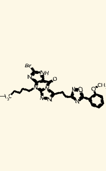 CCCCCn1c2nc(Br)[nH]c2c(=O)n2c(CCc3noc(-c4ccccc4OC)n3)nnc12